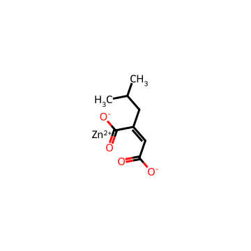 CC(C)C/C(=C/C(=O)[O-])C(=O)[O-].[Zn+2]